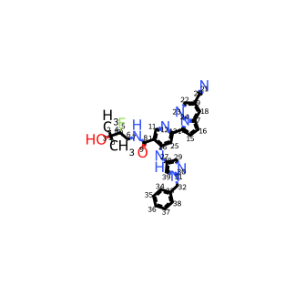 CC(C)(O)[C@H](F)CNC(=O)c1cnc(-c2ccc3cc(C#N)cnn23)cc1Nc1cnn(Cc2ccccc2)c1